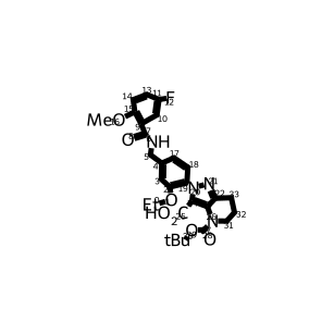 CCOc1cc(CNC(=O)c2cc(F)ccc2OC)ccc1-n1nc2c(c1C(=O)O)N(C(=O)OC(C)(C)C)CCC2